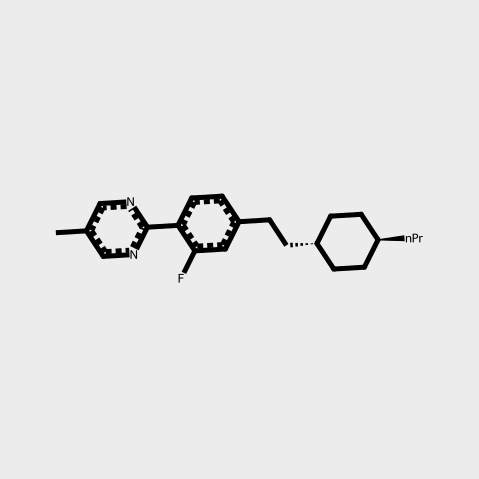 CCC[C@H]1CC[C@H](CCc2ccc(-c3ncc(C)cn3)c(F)c2)CC1